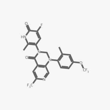 Cc1cc(OC(F)(F)F)ccc1N1CN(c2cc(F)c(=O)[nH]c2C)C(=O)c2cc(C(F)(F)F)ncc21